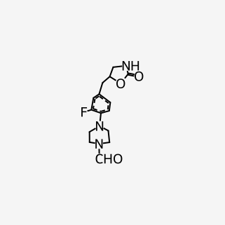 O=CN1CCN(c2ccc(CC3CNC(=O)O3)cc2F)CC1